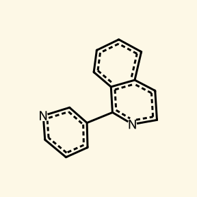 c1cncc(-c2nccc3ccccc23)c1